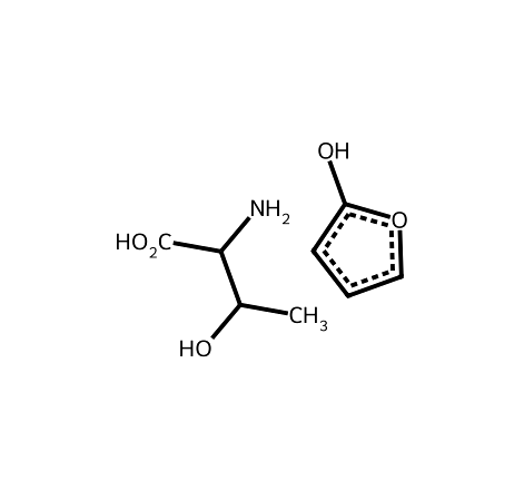 CC(O)C(N)C(=O)O.Oc1ccco1